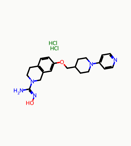 Cl.Cl.NC(=NO)N1CCc2ccc(OCC3CCN(c4ccncc4)CC3)cc2C1